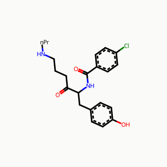 CCCNCCCC(=O)C(Cc1ccc(O)cc1)NC(=O)c1ccc(Cl)cc1